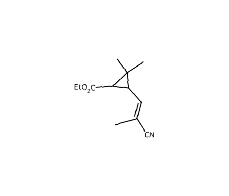 CCOC(=O)C1C(C=C(C)C#N)C1(C)C